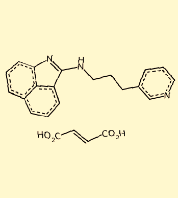 O=C(O)C=CC(=O)O.c1cncc(CCCNC2=Nc3cccc4cccc2c34)c1